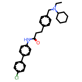 CCN(Cc1ccc(CCC(=O)Nc2ccc(-c3ccc(Cl)cc3)cc2)cc1)C1CCCCC1